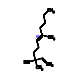 C=CC(C)(O)CC/C=C(\C)CCCC